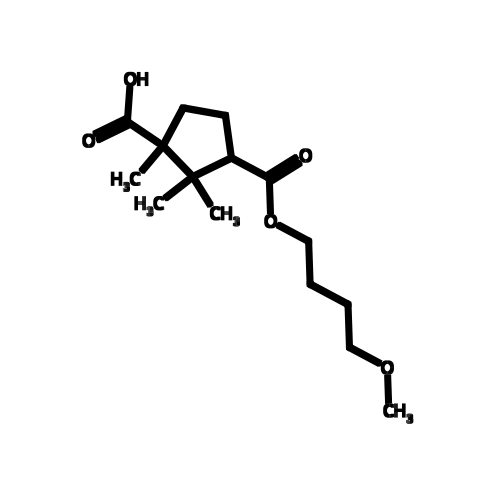 COCCCCOC(=O)C1CCC(C)(C(=O)O)C1(C)C